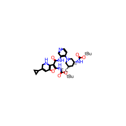 CC(C)(C)OC(=O)Nc1oc2c(c1C(=O)Nc1cnccc1N1C[C@@H](NC(=O)OC(C)(C)C)C[C@@H](C(F)(F)F)C1)NCC(C1CC1)=C2